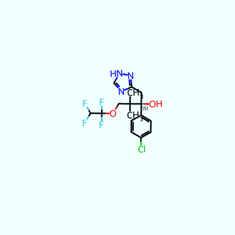 CC(C)(COC(F)(F)C(F)F)[C@](O)(Cc1nc[nH]n1)c1ccc(Cl)cc1